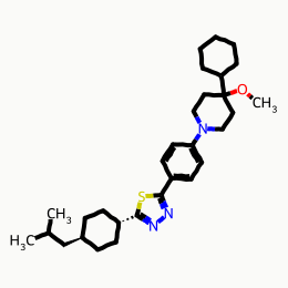 COC1(C2CCCCC2)CCN(c2ccc(-c3nnc([C@H]4CC[C@H](CC(C)C)CC4)s3)cc2)CC1